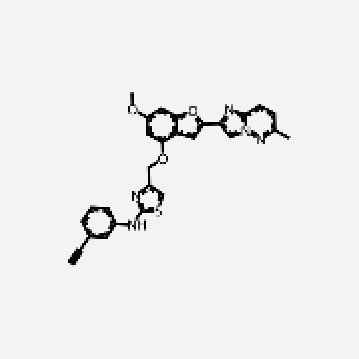 C#Cc1cccc(Nc2nc(COc3cc(OC)cc4oc(-c5cn6nc(C)ccc6n5)cc34)cs2)c1